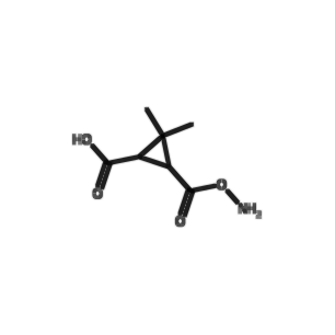 CC1(C)C(C(=O)O)C1C(=O)ON